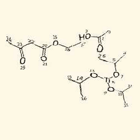 CC(=O)O.CC(C)[O][Ti]([O]C(C)C)[O]C(C)C.CCOC(=O)CC(C)=O